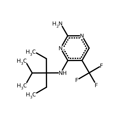 CCC(CC)(Nc1nc(N)ncc1C(F)(F)F)C(C)C